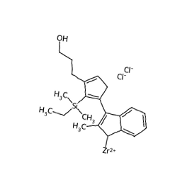 CC[Si](C)(C)C1=C(C2=C(C)[CH]([Zr+2])c3ccccc32)CC=C1CCCO.[Cl-].[Cl-]